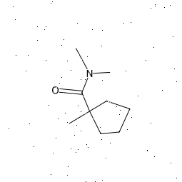 CN(C)C(=O)C1(C)CCCC1